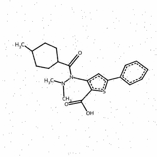 CC1CCC(C(=O)N(c2cc(-c3ccccc3)sc2C(=O)O)N(C)C)CC1